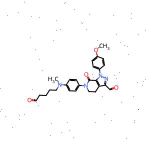 COc1ccc(-n2nc(C=O)c3c2C(=O)N(c2ccc(N(C)CCCCC=O)cc2)CC3)cc1